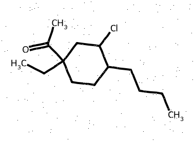 CCCCC1CCC(CC)(C(C)=O)CC1Cl